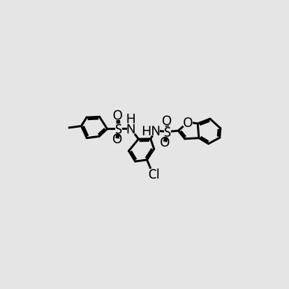 Cc1ccc(S(=O)(=O)Nc2ccc(Cl)cc2NS(=O)(=O)c2cc3ccccc3o2)cc1